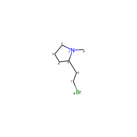 CN1CCCC1CCBr